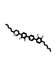 CCCCCCc1ccc(-c2ccc(-c3ccc(C4CCC(CCCCC)OC4)c(F)c3F)cc2)c(F)c1F